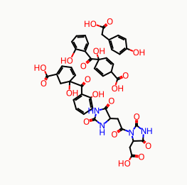 O=C(O)C1=CC=CC(O)(C(=O)c2ccccc2O)C1.O=C(O)C1C=CC(O)(C(=O)c2ccccc2O)C=C1.O=C(O)CC1C(=O)NC(=O)N1C(=O)CC1NC(=O)NC1=O.O=C(O)Cc1ccc(O)cc1